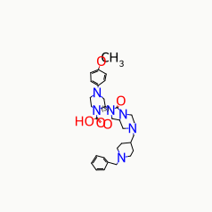 COc1ccc(N2CCN(C(=O)O)[C@H](N3C(=O)C4CN(CC5CCN(Cc6ccccc6)CC5)CCN4C3=O)C2)cc1